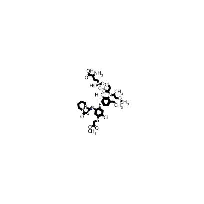 CCc1cccc(C)c1N(C(=O)CCl)C(C)COC.COC(=O)CSc1cc(/N=c2\sc(=O)n3n2CCCC3)c(F)cc1Cl.CP(=O)(O)CCC(N)C(=O)O